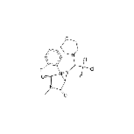 CN1C(=O)C2N(C(N3CCOCC3)C(Cl)(Cl)Cl)[N+]2(c2ccccc2F)C1=O